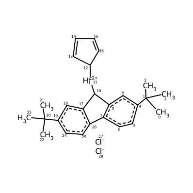 CC(C)(C)c1ccc2c(c1)[CH]([Hf+2][CH]1C=CC=C1)c1cc(C(C)(C)C)ccc1-2.[Cl-].[Cl-]